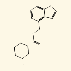 C[C@@H]1CCC[C@H](C(=O)NCc2cccc3[nH]ccc23)C1